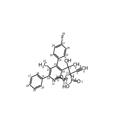 C#CC(C(=O)O)([PH](=O)O)C(C)(O)c1c(C(C)C)nc(-c2ccccc2)c(C)c1-c1ccc(F)cc1